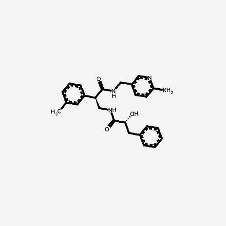 Cc1cccc([C@H](CNC(=O)[C@H](O)Cc2ccccc2)C(=O)NCc2ccc(N)nc2)c1